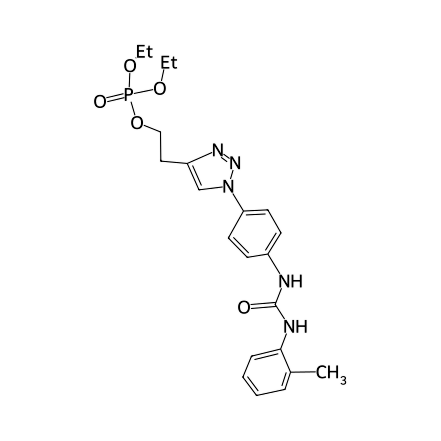 CCOP(=O)(OCC)OCCc1cn(-c2ccc(NC(=O)Nc3ccccc3C)cc2)nn1